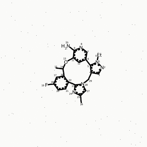 CCn1ncc2c1-c1cnc(N)c(c1)OC(C)c1cc(F)ccc1-c1nc(C)cn1C2